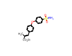 CCOC(=O)C(C)=Cc1ccc(Oc2ccc(S(N)(=O)=O)cc2)cc1